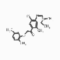 CCN(C)/C=N\c1cc(C)c(C(=O)COc2cc(C)ccc2C)cc1Cl